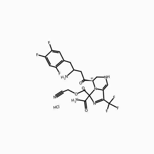 Cl.N#CCOC(=O)C1(C(N)=O)N=C(C(F)(F)F)C2=CNC[C@H](C(=O)CC(N)Cc3cc(F)c(F)cc3F)N21